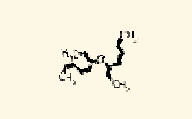 C=C/C=C\C(=C/C)OC(/C=C\C=C/C)=C/C